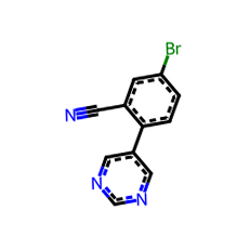 N#Cc1cc(Br)ccc1-c1cncnc1